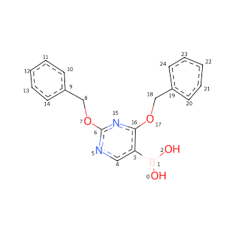 OB(O)c1cnc(OCc2ccccc2)nc1OCc1ccccc1